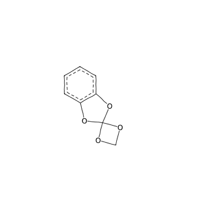 c1ccc2c(c1)OC1(OCO1)O2